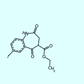 CCOC(=O)C1CC(=O)Nc2ccc(I)cc2C1=O